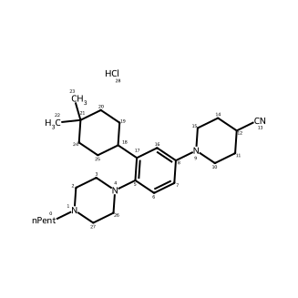 CCCCCN1CCN(c2ccc(N3CCC(C#N)CC3)cc2C2CCC(C)(C)CC2)CC1.Cl